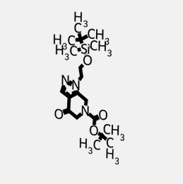 CC(C)(C)OC(=O)N1CC(=O)c2cnn(CCO[Si](C)(C)C(C)(C)C)c2C1